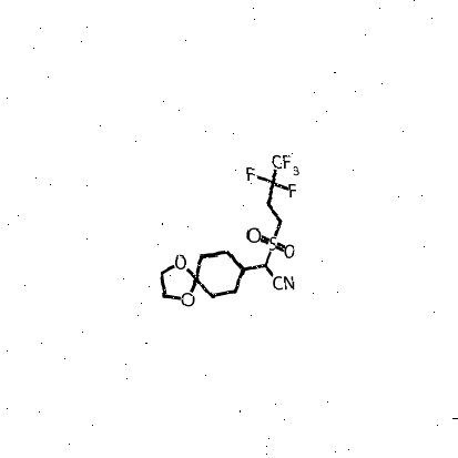 N#CC(C1CCC2(CC1)OCCO2)S(=O)(=O)CCC(F)(F)C(F)(F)F